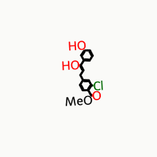 COC(=O)c1ccc(CC=C(O)c2cccc(O)c2)cc1Cl